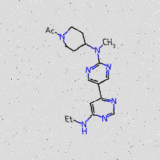 CCNc1cc(-c2cnc(N(C)C3CCN(C(C)=O)CC3)nc2)ncn1